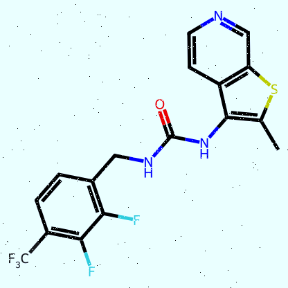 Cc1sc2cnccc2c1NC(=O)NCc1ccc(C(F)(F)F)c(F)c1F